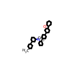 Cc1ccc(-c2cccc(N(C)c3ccccc3-c3ccc(-c4ccc5c(c4)oc4ccccc45)cc3)c2)cc1